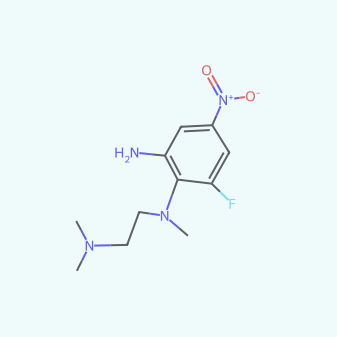 CN(C)CCN(C)c1c(N)cc([N+](=O)[O-])cc1F